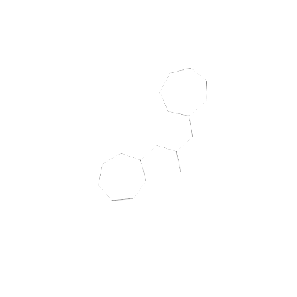 CC(CC1CC[CH]CCC1)CC1CC[CH]CCC1